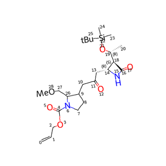 C=CCOC(=O)N1CCC(CC(=O)C[C@H]2NC(=O)[C@@H]2[C@@H](C)O[Si](C)(C)C(C)(C)C)C1COC